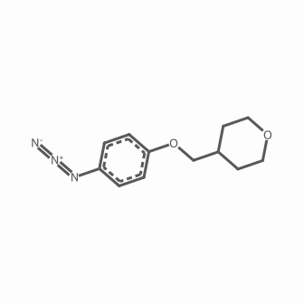 [N-]=[N+]=Nc1ccc(OCC2CCOCC2)cc1